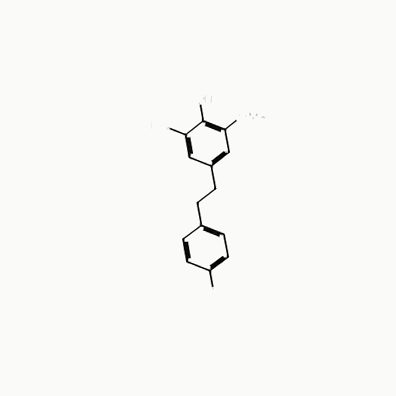 COc1cc(CCc2ccc(O)cc2)cc(O)c1O